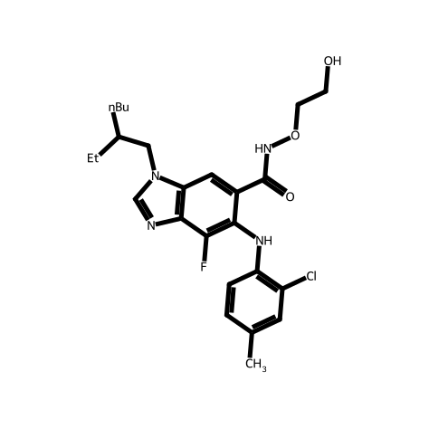 CCCCC(CC)Cn1cnc2c(F)c(Nc3ccc(C)cc3Cl)c(C(=O)NOCCO)cc21